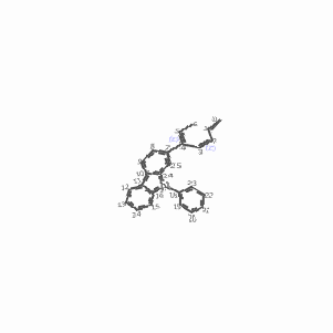 C=C/C=C\C(=C/C)c1ccc2c3ccccc3n(-c3ccccc3)c2c1